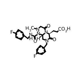 CN1CC(=O)N2[C@@H](CCC(=O)O)C(=O)N(Cc3ccc(F)cc3)C[C@@H]2N1C(=O)NCc1ccc(F)cc1